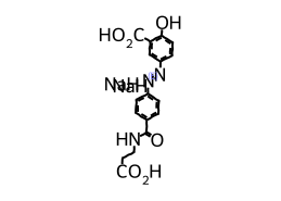 O=C(O)CCNC(=O)c1ccc(/N=N/c2ccc(O)c(C(=O)O)c2)cc1.[NaH].[NaH]